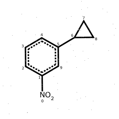 O=[N+]([O-])c1cc[c]c(C2CC2)c1